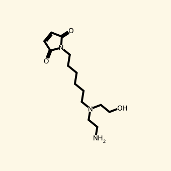 NCCN(CCO)CCCCCCN1C(=O)C=CC1=O